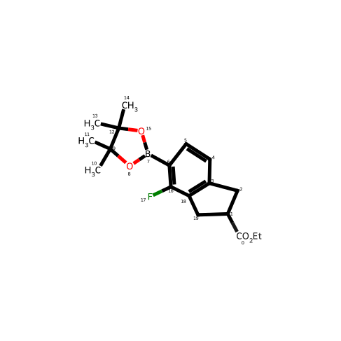 CCOC(=O)C1Cc2ccc(B3OC(C)(C)C(C)(C)O3)c(F)c2C1